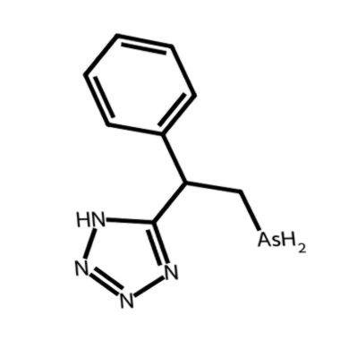 [AsH2]CC(c1ccccc1)c1nnn[nH]1